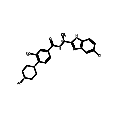 CC(=O)N1CCN(c2ccc(C(=O)N[C@@H](C)c3nc4cc(Cl)ccc4[nH]3)cc2C(F)(F)F)CC1